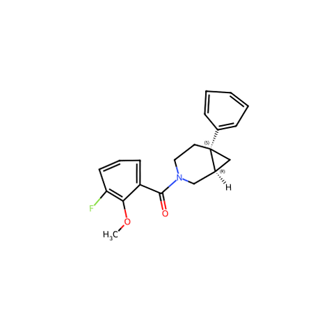 COc1c(F)cccc1C(=O)N1CC[C@@]2(c3ccccc3)C[C@H]2C1